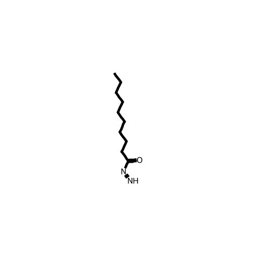 CCCCCCCCCC(=O)N=N